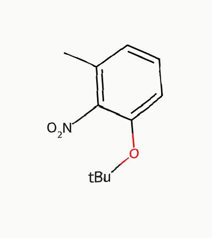 Cc1cccc(OC(C)(C)C)c1[N+](=O)[O-]